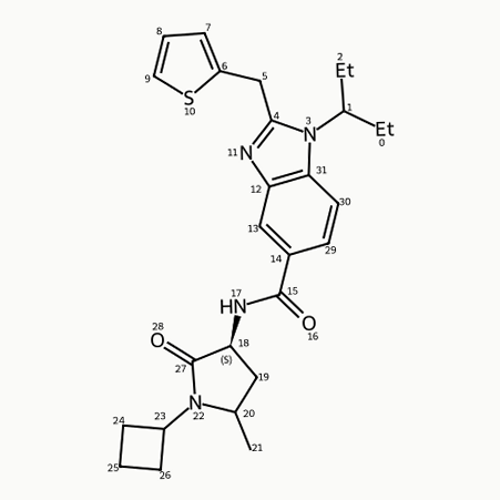 CCC(CC)n1c(Cc2cccs2)nc2cc(C(=O)N[C@H]3CC(C)N(C4CCC4)C3=O)ccc21